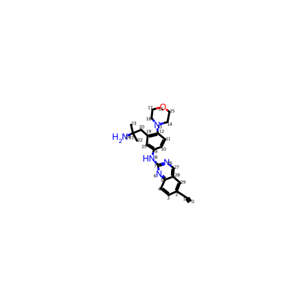 C#Cc1ccc2nc(Nc3ccc(N4CCOCC4)c(CC(C)(C)N)c3)ncc2c1